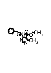 CCOC(=O)c1c(C)ncnc1NOCc1ccccc1